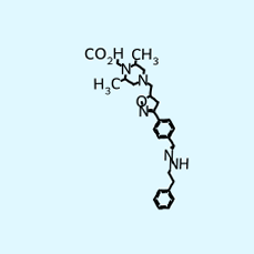 CC1CN(CC2CC(c3ccc(C=NNCCc4ccccc4)cc3)=NO2)CC(C)N1CC(=O)O